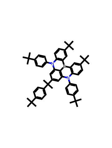 CC(C)(C)c1ccc(N2c3ccc(C(C)(C)C)cc3B3c4cc(C(C)(C)C)ccc4N(c4ccc(C(C)(C)C)cc4)c4cc(C(C)(C)c5ccc(C(C)(C)C)cc5)cc2c43)cc1